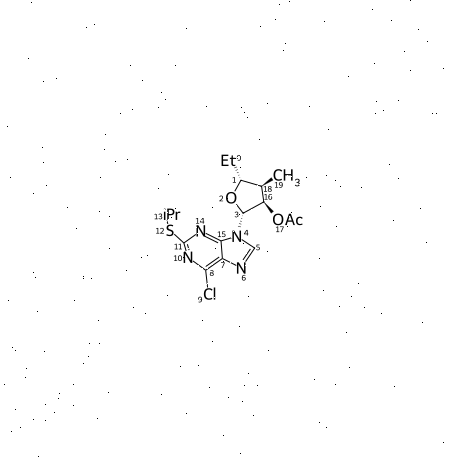 CC[C@H]1O[C@@H](n2cnc3c(Cl)nc(SC(C)C)nc32)[C@H](OC(C)=O)[C@@H]1C